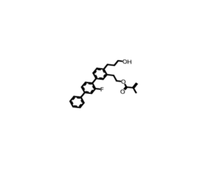 C=C(C)C(=O)OCCc1cc(-c2ccc(-c3ccccc3)cc2F)ccc1CCCO